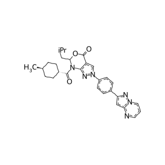 CC(C)CC1OC(=O)c2cn(-c3ccc(-c4cc5ncccn5n4)cc3)nc2N1C(=O)[C@H]1CC[C@H](C)CC1